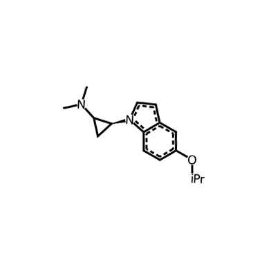 CC(C)Oc1ccc2c(ccn2[C@H]2CC2N(C)C)c1